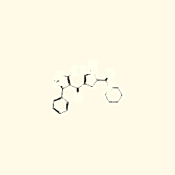 Cc1onc(-c2ccccc2)c1C(=O)C1=CNC(C(=O)N2CCCCC2)C1